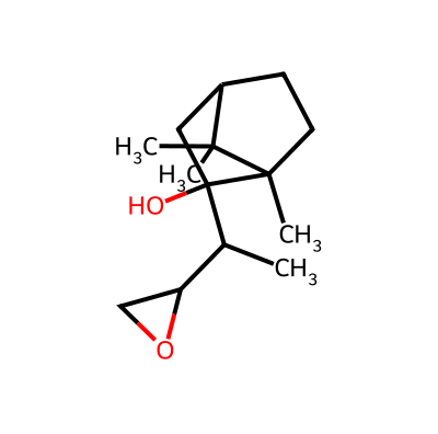 CC(C1CO1)C1(O)CC2CCC1(C)C2(C)C